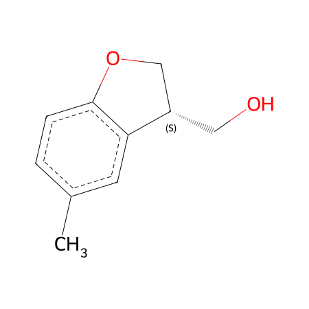 Cc1ccc2c(c1)[C@@H](CO)CO2